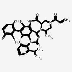 C=CC(=O)N1CC(C)N2c3nc(=O)n(-c4c(C)ccnc4C(C)C)c4c(Cl)c(-c5c(O)ccc(F)c5F)c(F)c(c34)NC(=O)C2C1